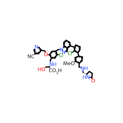 COc1cc(-c2cccc(-c3cccc4c3cnn4Cc3cc(OCc4cncc(C#N)c4)c(CN[C@@H](CO)C(=O)O)cc3Cl)c2Cl)ccc1CNC[C@@H]1CCC(=O)N1